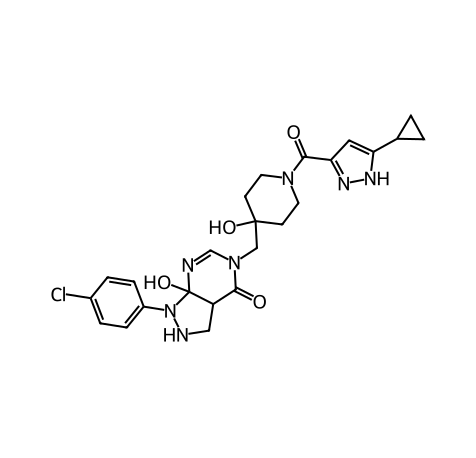 O=C1C2CNN(c3ccc(Cl)cc3)C2(O)N=CN1CC1(O)CCN(C(=O)c2cc(C3CC3)[nH]n2)CC1